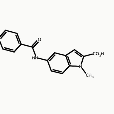 Cn1c(C(=O)O)cc2cc(NC(=O)c3ccccc3)ccc21